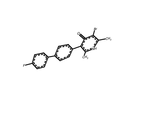 Cc1[nH]c(C)c(-c2ccc(-c3ccc(F)cc3)cc2)c(=O)c1Br